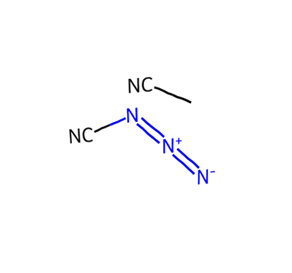 CC#N.N#CN=[N+]=[N-]